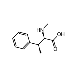 CN[C@@H](C(=O)O)[C@@H](C)c1ccccc1